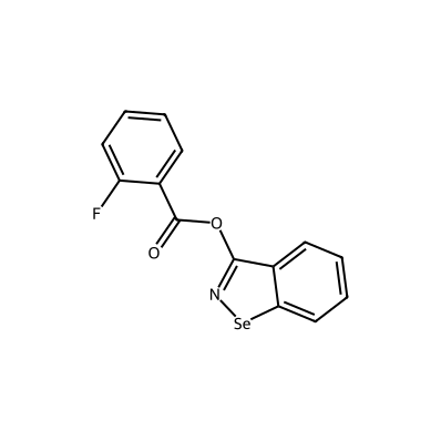 O=C(Oc1n[se]c2ccccc12)c1ccccc1F